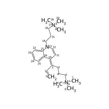 C=[C]C(CCC[N+](C)(C)C)=C1C=CN(CCC[N+](C)(C)C)c2ccccc21